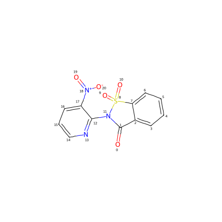 O=C1c2ccccc2S(=O)(=O)N1c1ncccc1[N+](=O)[O-]